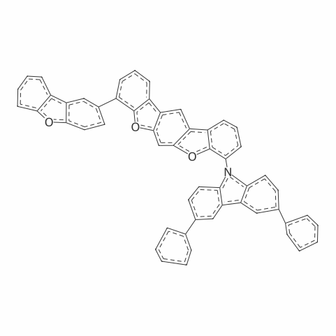 c1ccc(-c2ccc3c(c2)c2cc(-c4ccccc4)ccc2n3-c2cccc3c2oc2cc4oc5c(-c6ccc7oc8ccccc8c7c6)cccc5c4cc23)cc1